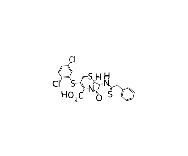 O=C(O)C1=C(Sc2cc(Cl)ccc2Cl)CS[C@H]2[C@H](NC(=S)Cc3ccccc3)C(=O)N12